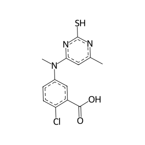 Cc1cc(N(C)c2ccc(Cl)c(C(=O)O)c2)nc(S)n1